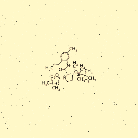 C=CCc1ccc(C)cc1N(C)C(=O)[C@@H]1[C@H](O[Si](C)(C)C(C)(C)C)CCN1C(=O)OC(C)(C)C